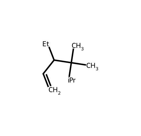 C=CC(CC)C(C)(C)C(C)C